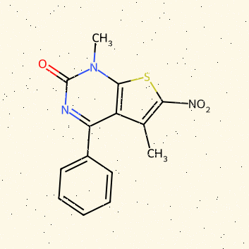 Cc1c([N+](=O)[O-])sc2c1c(-c1ccccc1)nc(=O)n2C